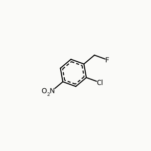 O=[N+]([O-])c1ccc(CF)c(Cl)c1